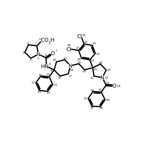 O=C(O)C1CCCN1C(=O)NC1(c2ccccc2)CCN(CCC2(c3ccc(Cl)c(Cl)c3)CCN(C(=O)c3ccccc3)C2)CC1